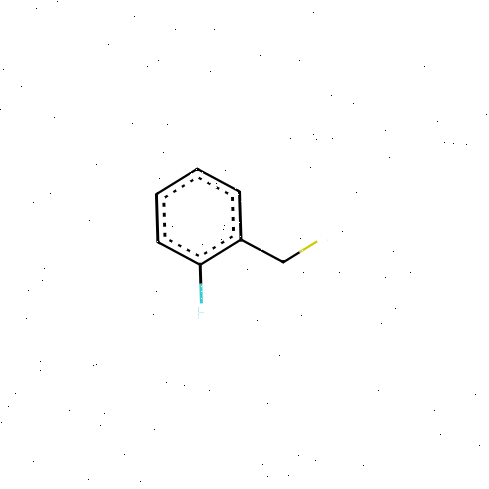 Fc1ccccc1C[S]